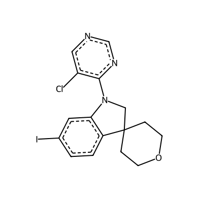 Clc1cncnc1N1CC2(CCOCC2)c2ccc(I)cc21